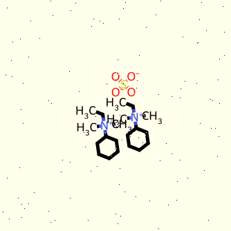 CC[N+](C)(C)C1CCCCC1.CC[N+](C)(C)C1CCCCC1.O=S(=O)([O-])[O-]